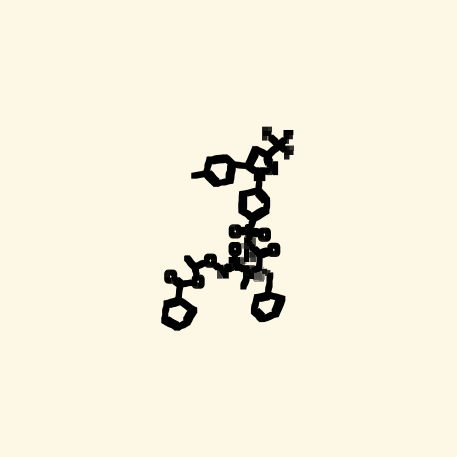 Cc1ccc(-c2cc(C(F)(F)F)nn2-c2ccc(S(=O)(=O)NC(=O)[C@H](Cc3ccccc3)N(C)[N+]([O-])=NOC(C)OC(=O)c3ccccc3)cc2)cc1